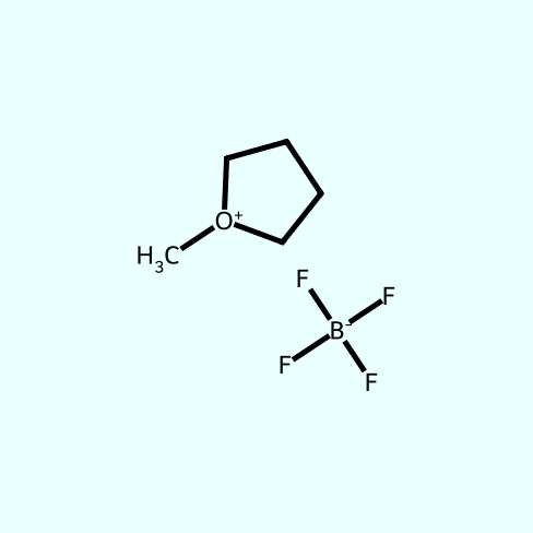 C[O+]1CCCC1.F[B-](F)(F)F